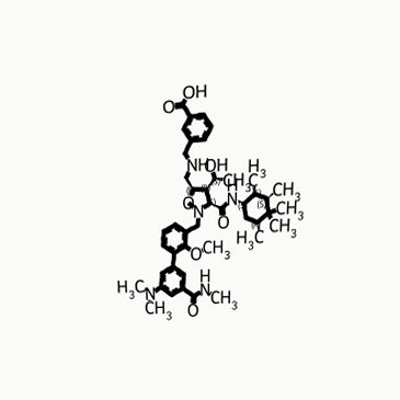 CNC(=O)c1cc(-c2cccc(CN3O[C@@H](CNCc4cccc(C(=O)O)c4)[C@@H]([C@H](C)O)[C@H]3C(=O)N[C@H]3C[C@@H](C)C(C)(C)[C@@H](C)[C@@H]3C)c2OC)cc(N(C)C)c1